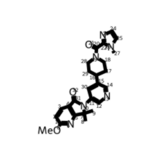 COc1ccc2c(n1)C(C)(C)N(c1cncc(C3CCN(C(=O)c4nccn4C)CC3)c1)C2=O